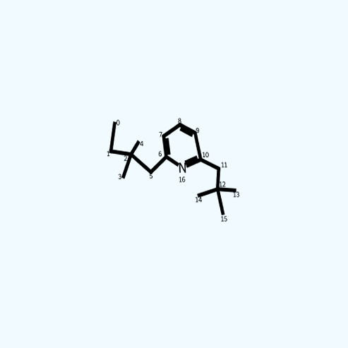 CCC(C)(C)Cc1cccc(CC(C)(C)C)n1